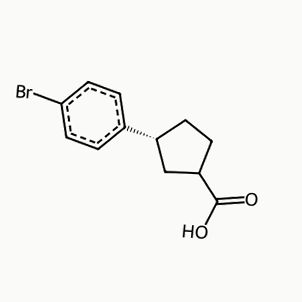 O=C(O)C1CC[C@@H](c2ccc(Br)cc2)C1